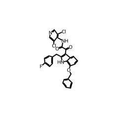 O=C(Nc1c(Cl)cncc1Cl)C(=O)c1c(Cc2ccc(F)cc2)[nH]c2c(OCc3ccccc3)cccc12